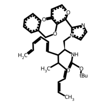 C=C/C=C\C=CC(C(C)/C=C\C=C/C)[C@@H](Cn1ccnc1-c1occc(=O)c1OCc1ccccc1)NC(=O)OC(C)(C)C